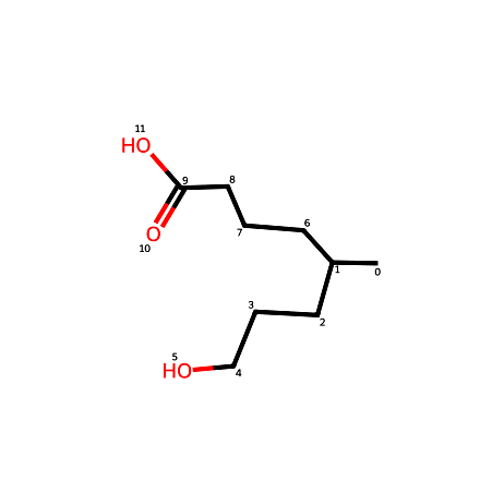 CC(CCCO)CCCC(=O)O